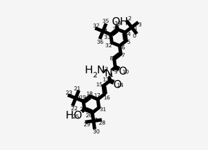 CC(C)(C)C1=CC(C=CC(=O)N(N)C(=O)C=CC2C=C(C(C)(C)C)C(O)=C(C(C)(C)C)C2)CC(C(C)(C)C)=C1O